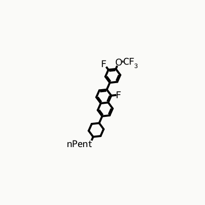 CCCCCC1CCC(c2ccc3c(F)c(-c4ccc(OC(F)(F)F)c(F)c4)ccc3c2)CC1